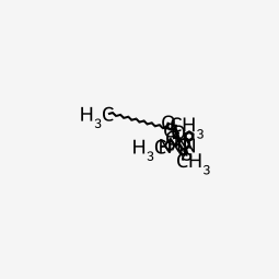 CCCCCCCCCCCCCCCC(=O)OC(C)OC(=O)N1C(N2CCN(C)CC2)=c2cc(C)sc2=Nc2ccccc21